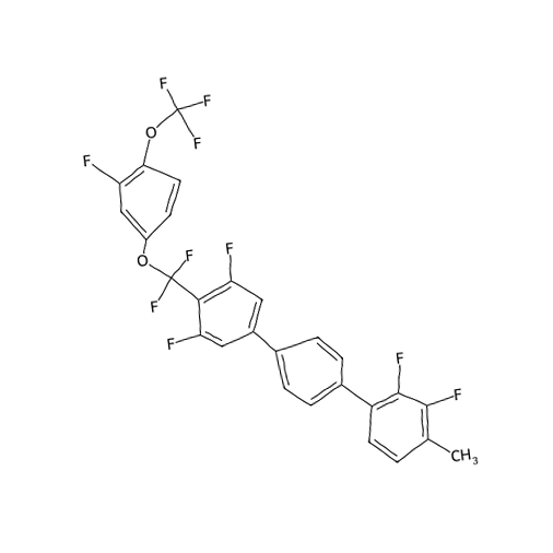 Cc1ccc(-c2ccc(-c3cc(F)c(C(F)(F)Oc4ccc(OC(F)(F)F)c(F)c4)c(F)c3)cc2)c(F)c1F